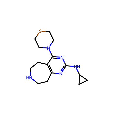 C1Cc2nc(NC3CC3)nc(N3CCSCC3)c2CCN1